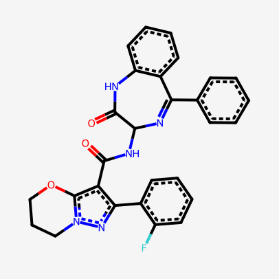 O=C(NC1N=C(c2ccccc2)c2ccccc2NC1=O)c1c(-c2ccccc2F)nn2c1OCCC2